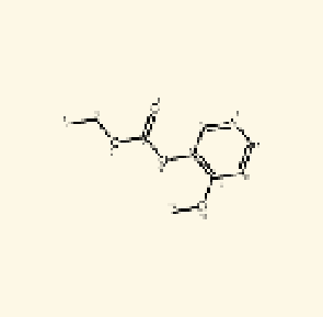 CCOC(=O)Oc1cnccc1OC